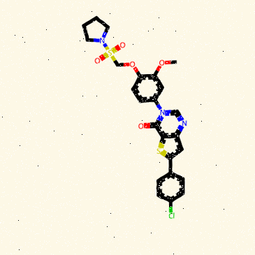 COc1cc(-n2cnc3cc(-c4ccc(Cl)cc4)sc3c2=O)ccc1OCS(=O)(=O)N1CCCC1